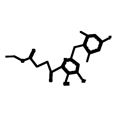 CCOC(=O)CCC(=O)c1nc(Cc2c(C)cc(F)cc2C)cc(Br)c1O